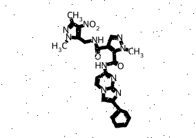 Cc1nn(C)c(CNC(=O)c2cnn(C)c2C(=O)Nc2ccn3cc(-c4ccccc4)nc3n2)c1[N+](=O)[O-]